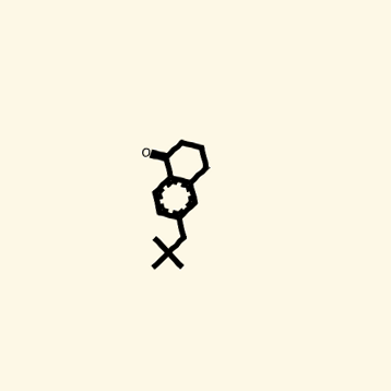 CC(C)(C)Cc1ccc2c(c1)[CH]CCC2=O